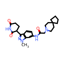 Cn1nc(C2CCC(=O)NC2=O)c2ccc(NC(=O)CN3CCC4(CCCC4)CC3)cc21